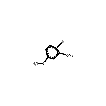 COc1cc(SN)ccc1Br